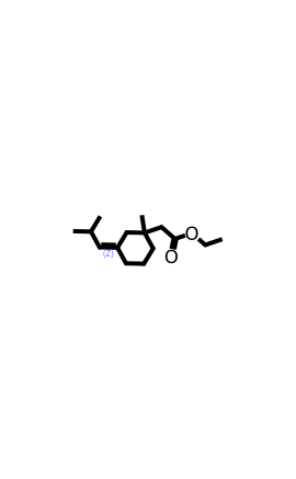 CCOC(=O)CC1(C)CCC/C(=C/C(C)C)C1